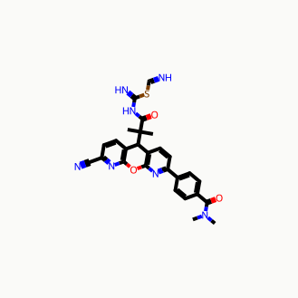 CN(C)C(=O)c1ccc(-c2ccc3c(n2)Oc2nc(C#N)ccc2C3C(C)(C)C(=O)NC(=N)SC=N)cc1